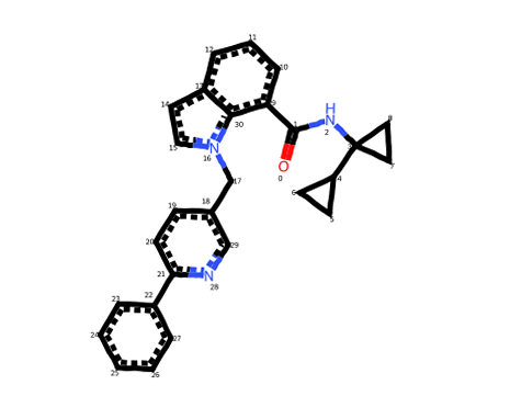 O=C(NC1(C2CC2)CC1)c1cccc2ccn(Cc3ccc(-c4ccccc4)nc3)c12